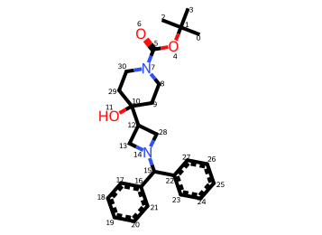 CC(C)(C)OC(=O)N1CCC(O)(C2CN(C(c3ccccc3)c3ccccc3)C2)CC1